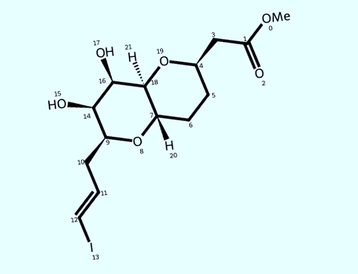 COC(=O)C[C@H]1CC[C@@H]2O[C@@H](C/C=C/I)[C@@H](O)[C@@H](O)[C@H]2O1